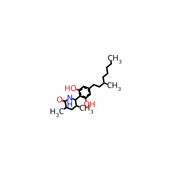 CCCCCC(C)CCc1cc(O)c(C2NC(=O)C(C)CC2C)c(O)c1